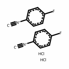 Cl.Cl.[C-]#[N+]c1ccc(F)cc1.[C-]#[N+]c1ccc(F)cc1